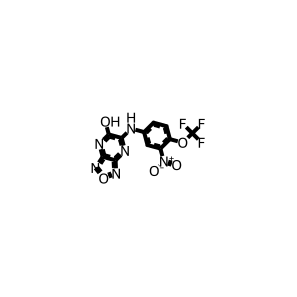 O=[N+]([O-])c1cc(Nc2nc3nonc3nc2O)ccc1OC(F)(F)F